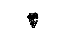 O=c1nccccc1Nc1nc2c(C(F)(F)F)cccc2c2nc(-c3ccc(Cl)cc3OC(F)F)nn12